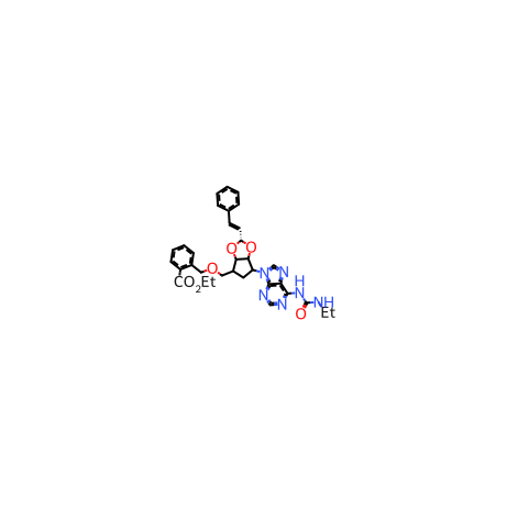 CCNC(=O)Nc1ncnc2c1ncn2C1CC(COCc2ccccc2C(=O)OCC)C2O[C@H](/C=C/c3ccccc3)OC21